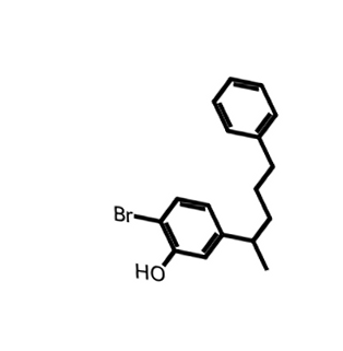 CC(CCCc1ccccc1)c1ccc(Br)c(O)c1